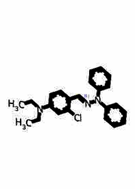 CCN(CC)c1ccc(/C=N/N(c2ccccc2)c2ccccc2)c(Cl)c1